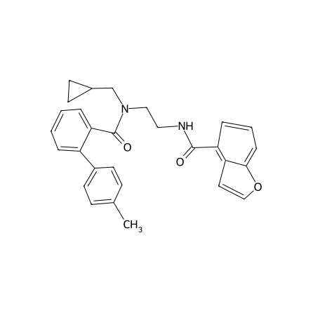 Cc1ccc(-c2ccccc2C(=O)N(CCNC(=O)c2cccc3occc23)CC2CC2)cc1